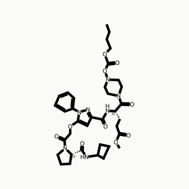 CCCCOC(=O)ON1CCN(C(=O)[C@H](CCC(=O)OC)NC(=O)c2cc(OCC(=O)N3CCC[C@H]3C(=O)NC3CCC3)n(-c3ccccc3)n2)CC1